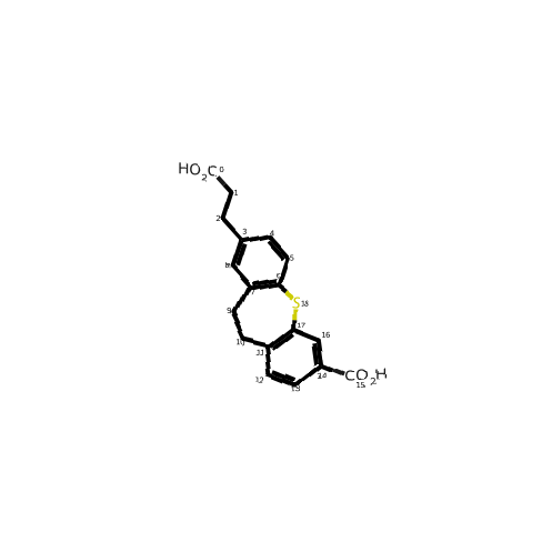 O=C(O)CCc1ccc2c(c1)CCc1ccc(C(=O)O)cc1S2